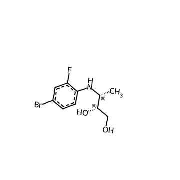 C[C@@H](Nc1ccc(Br)cc1F)[C@@H](O)CO